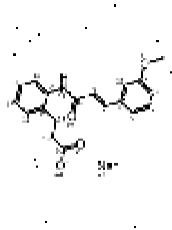 COc1cccc(C=CC(=O)Nc2ccccc2CCC(=O)[O-])c1.[Na+]